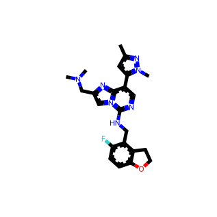 Cc1cc(-c2cnc(NCc3c(F)ccc4c3CCO4)n3cc(CN(C)C)nc23)n(C)n1